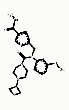 COc1cccc(N(Cc2ccc(C(=O)NN)cn2)C(=O)N2CCN(C3COC3)CC2)c1